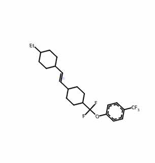 CCC1CCC(/C=C/C2CCC(C(F)(F)Oc3ccc(C(F)(F)F)cc3)CC2)CC1